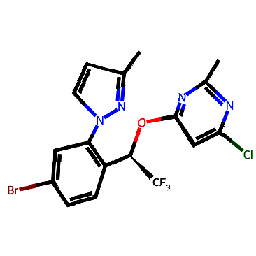 Cc1ccn(-c2cc(Br)ccc2[C@@H](Oc2cc(Cl)nc(C)n2)C(F)(F)F)n1